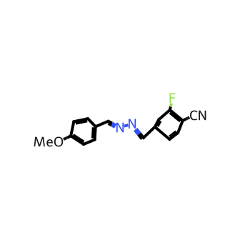 COc1ccc(/C=N/N=C/c2ccc(C#N)c(F)c2)cc1